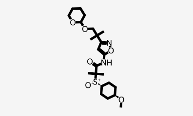 CO[C@H]1CC[C@H]([S+]([O-])C(C)(C)C(=O)Nc2cc(C(C)(C)COC3CCCCO3)no2)CC1